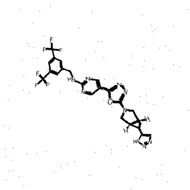 FC(F)(F)c1cc(CNc2ncc(-c3nnc(N4C[C@@H]5C(c6cnn[nH]6)[C@@H]5C4)o3)cn2)cc(C(F)(F)F)c1